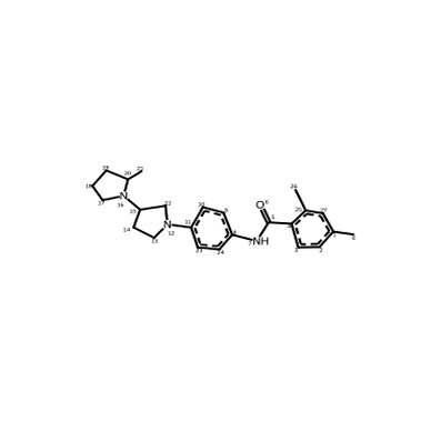 Cc1ccc(C(=O)Nc2ccc(N3CCC(N4CCCC4C)C3)cc2)c(C)c1